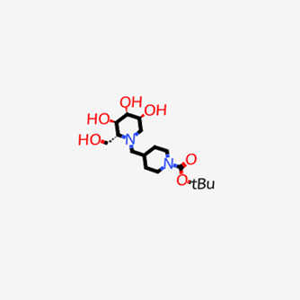 CC(C)(C)OC(=O)N1CCC(CN2C[C@H](O)[C@@H](O)[C@H](O)[C@H]2CO)CC1